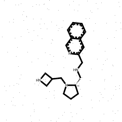 c1ccc2cc(CNC[C@@H]3CCCN3CC3CNC3)ncc2c1